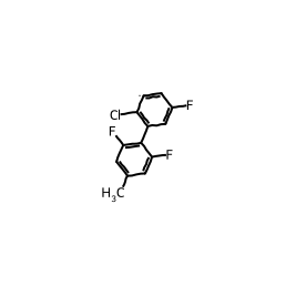 Cc1cc(F)c(-c2cc(F)c[c]c2Cl)c(F)c1